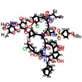 CCCCOc1ccc(S(=O)(=O)NC(=O)C[C@@H]2CC(=O)[C@H](NC(=O)[C@H](CC)CC(C)C)[C@H](O)c3ccc(c(Cl)c3)Oc3cc4cc(c3O[C@@H]3O[C@H](CO)[C@@H](O)[C@H](O)[C@H]3O[C@H]3C[C@](C)(N)[C@H](O)[C@H](C)O3)Oc3ccc(cc3Cl)[C@@H](O)[C@@H]3NC(=O)[C@H](CC(=O)[C@@H]4NC2=O)c2ccc(O)c(c2)-c2c(O)cc(O)cc2[C@@H](C(=O)CC2C4CC5CC(C4)CC2C5)NC3=O)cc1